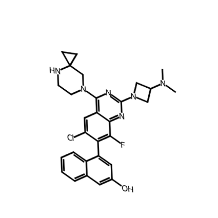 CN(C)C1CN(c2nc(N3CCNC4(CC4)C3)c3cc(Cl)c(-c4cc(O)cc5ccccc45)c(F)c3n2)C1